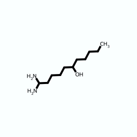 CCCCCC(O)CCCCC(N)N